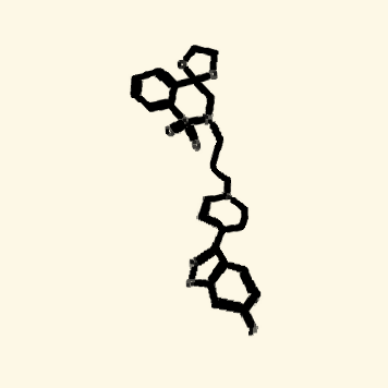 O=S1(=O)c2ccccc2C2(CN1CCCN1CCC(c3noc4cc(F)ccc34)CC1)OCCO2